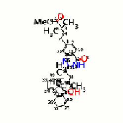 COC(=O)C(C)(C)/C=C/c1ccc2c(=O)[nH]c([C@@H](C)CC(C)(C)[Si](O)(c3ccccc3)c3ccccc3)nc2c1